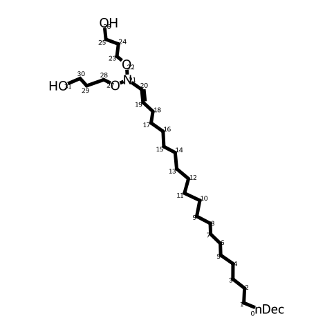 CCCCCCCCCCCCCCCCCCCCCCCCCCCCC=CN(OCCCO)OCCCO